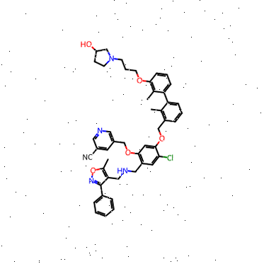 Cc1onc(-c2ccccc2)c1CNCc1cc(Cl)c(OCc2cccc(-c3cccc(OCCCN4CCC(O)C4)c3C)c2C)cc1OCc1cncc(C#N)c1